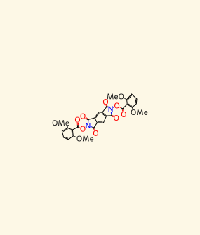 COc1cccc(OC)c1C(=O)On1c(=O)c2cc3c(=O)n(OC(=O)c4c(OC)cccc4OC)c(=O)c3cc2c1=O